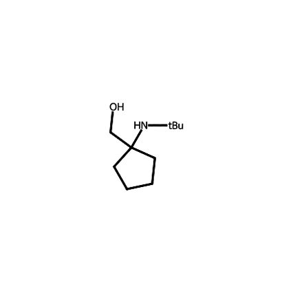 CC(C)(C)NC1(CO)CCCC1